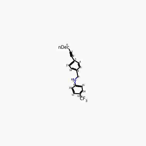 CCCCCCCCCCC#Cc1ccc(C[N]c2ccc(C(F)(F)F)cc2)cc1